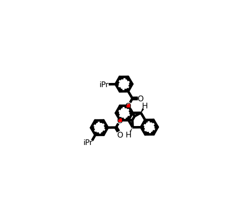 CC(C)c1cccc(C(=O)OC2C(OC(=O)c3cccc(C(C)C)c3)[C@H]3c4ccccc4[C@H]2c2ccccc23)c1